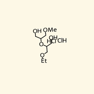 CCOCC(CO)OC(CO)COC.Cl.Cl